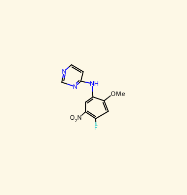 COc1cc(F)c([N+](=O)[O-])cc1Nc1ccncn1